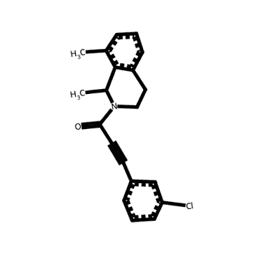 Cc1cccc2c1C(C)N(C(=O)C#Cc1cccc(Cl)c1)CC2